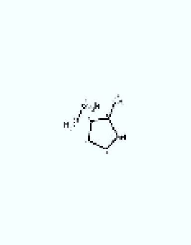 CC1CCCN1.CS(=O)(=O)O